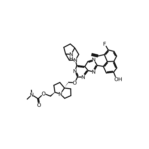 C#Cc1c(F)ccc2cc(O)cc(-c3ncc4c(N5CC6CCC(C5)N6)nc(OC[C@]56CCCN5[C@@H](COC(=O)N(C)C)CC6)nc4n3)c12